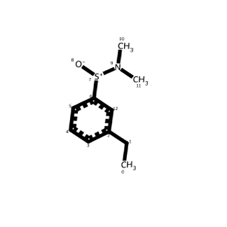 CCc1cccc([S+]([O-])N(C)C)c1